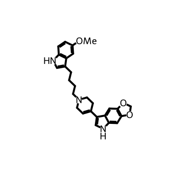 COc1ccc2[nH]cc(CCCCN3CC=C(c4c[nH]c5cc6c(cc45)OCO6)CC3)c2c1